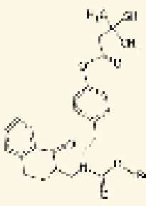 CC(C)(S)CC(=O)Oc1ccc(CCN(CC2CCc3ccccc3C2=O)C(=O)OC(C)(C)C)cc1